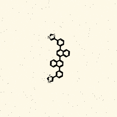 c1cc(-c2cncs2)cc(-c2ccc(-c3ccc(-c4cccc(-c5cncs5)c4)c4ccccc34)c3ccccc23)c1